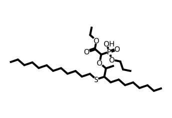 CCCCCCCCCCCCSC(CCCCCCCC)C(C)OC(C(=O)OCC)P(=O)(O)OCCC